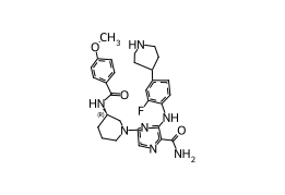 COc1ccc(C(=O)N[C@@H]2CCCN(c3cnc(C(N)=O)c(Nc4ccc(C5CCNCC5)cc4F)n3)C2)cc1